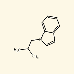 CC(C)Cn1ccc2c[c]ccc21